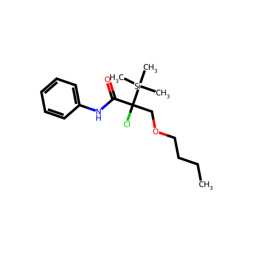 CCCCOCC(Cl)(C(=O)Nc1ccccc1)[Si](C)(C)C